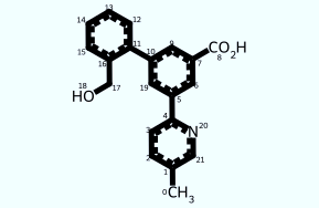 Cc1ccc(-c2cc(C(=O)O)cc(-c3ccccc3CO)c2)nc1